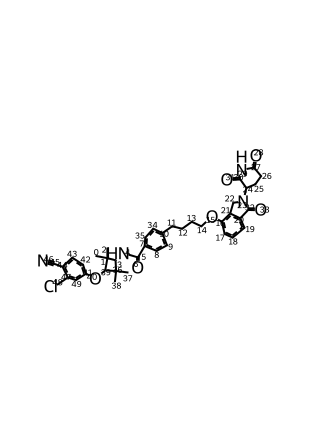 CC1(C)C(NC(=O)c2ccc(CCCCOc3cccc4c3CN(C3CCC(=O)NC3=O)C4=O)cc2)C(C)(C)C1Oc1ccc(C#N)c(Cl)c1